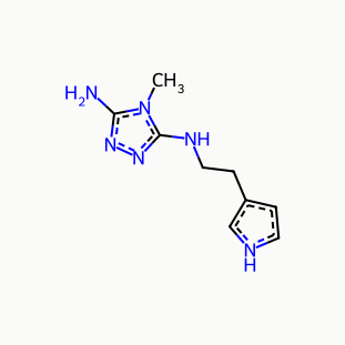 Cn1c(N)nnc1NCCc1cc[nH]c1